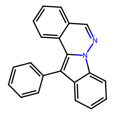 c1ccc(-c2c3ccccc3n3ncc4ccccc4c23)cc1